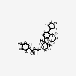 CN1CCN2c3c(ccc(C4CCCC4)c31)[C@@H]1CN(CCC(O)c3ccc(F)cc3)CC[C@@H]12